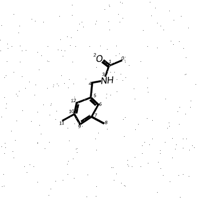 CC(=O)NCc1cc(C)cc(C)c1